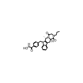 CCCN1CC(=O)N2[C@H](Cc3c(n(Cc4ccc(C(=O)NO)cc4)c4ccccc34)[C@@H]2C)C1=O